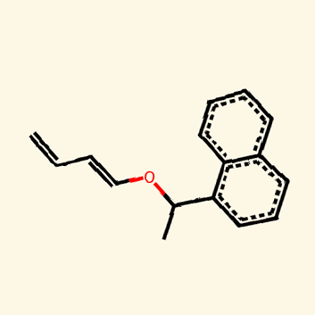 C=CC=COC(C)c1cccc2ccccc12